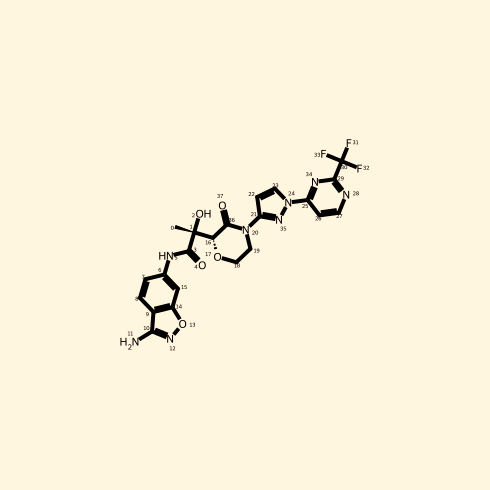 C[C@](O)(C(=O)Nc1ccc2c(N)noc2c1)[C@H]1OCCN(c2ccn(-c3ccnc(C(F)(F)F)n3)n2)C1=O